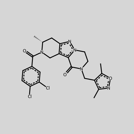 Cc1noc(C)c1CN1CCn2nc3c(c2C1=O)CN(C(=O)c1ccc(Cl)c(Cl)c1)[C@H](C)C3